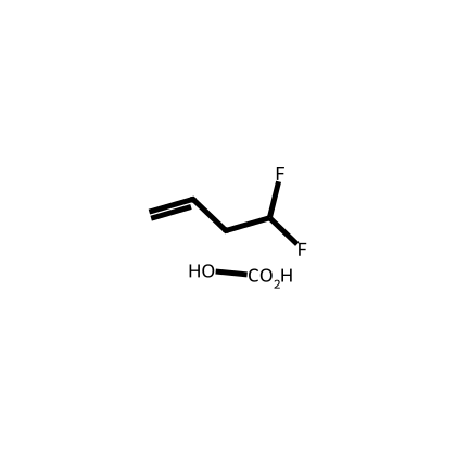 C=CCC(F)F.O=C(O)O